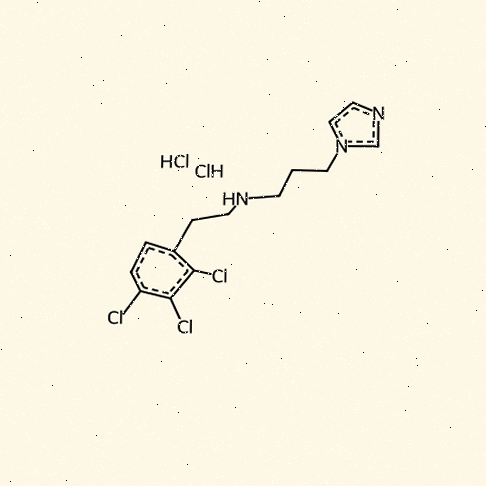 Cl.Cl.Clc1ccc(CCNCCCn2ccnc2)c(Cl)c1Cl